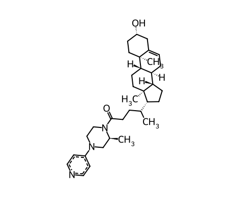 CC(CCC(=O)N1CCN(c2ccncc2)C[C@@H]1C)[C@H]1CC[C@H]2[C@@H]3CC=C4C[C@@H](O)CC[C@]4(C)[C@H]3CC[C@]12C